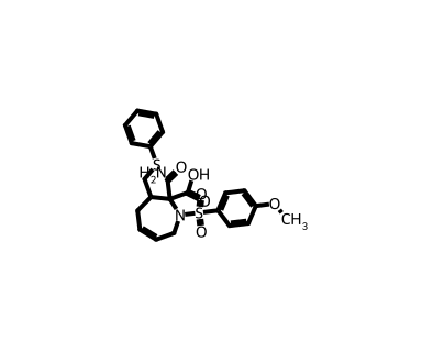 COc1ccc(S(=O)(=O)N2CC=CCC(CSc3ccccc3)C2(C(N)=O)C(=O)O)cc1